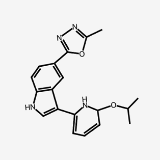 Cc1nnc(-c2ccc3[nH]cc(C4=CC=CC(OC(C)C)N4)c3c2)o1